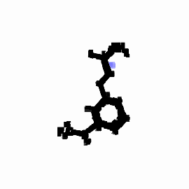 C/C(N)=C\Cc1cccc(SC(F)(F)F)c1